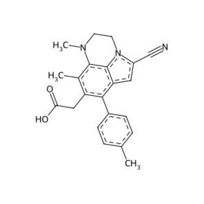 Cc1ccc(-c2c(CC(=O)O)c(C)c3c4c2cc(C#N)n4CCN3C)cc1